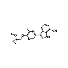 Cc1nc(-c2c[nH]c3c(C#N)cccc23)cnc1OCC1(OI)CC1